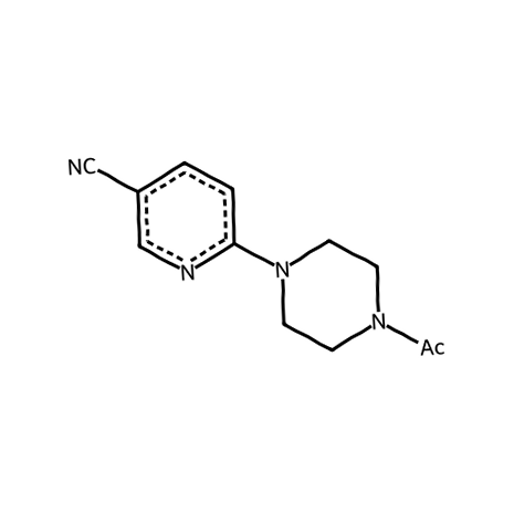 CC(=O)N1CCN(c2ccc(C#N)cn2)CC1